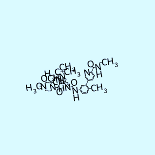 CCNC(=O)c1ccc(-c2cc(NC(=O)Nc3cn(C(C)(C)C)nc3C(=O)N3CCN(C)C(=O)C3(C)C)ccc2C)cn1